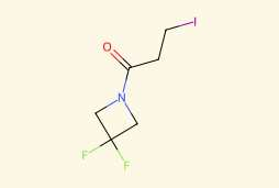 O=C(CCI)N1CC(F)(F)C1